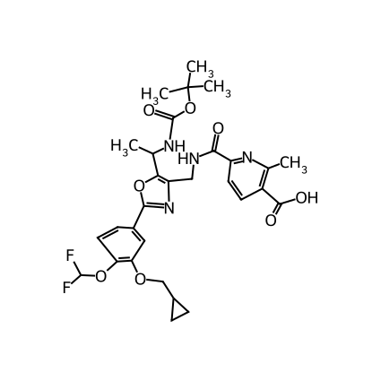 Cc1nc(C(=O)NCc2nc(-c3ccc(OC(F)F)c(OCC4CC4)c3)oc2C(C)NC(=O)OC(C)(C)C)ccc1C(=O)O